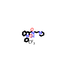 O=C(NCCCN1CCCCC1)c1cc2ccccc2n(-c2cccc(C(F)(F)F)c2)c1=O